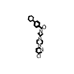 O=C(c1ccc(C2CCCCC2)cc1)N1CC(N2CCN(c3ccc(Cl)cn3)CC2)C1